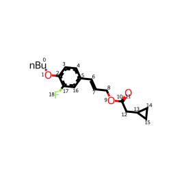 CCCCOc1ccc(C=CCOC(=O)CC2CC2)cc1F